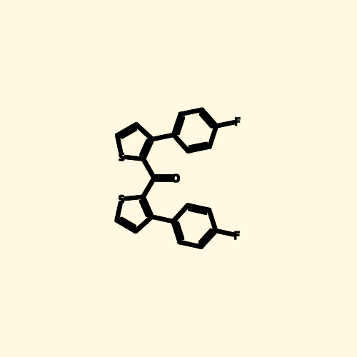 O=C(c1sccc1-c1ccc(F)cc1)c1sccc1-c1ccc(F)cc1